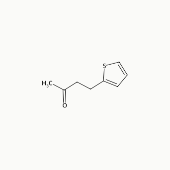 CC(=O)CCc1cccs1